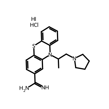 CC(CN1CCCC1)N1c2ccccc2Sc2ccc(C(=N)N)cc21.Cl.I